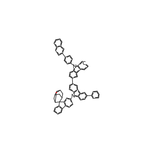 c1ccc(-c2ccc3c(c2)c2cc(-c4ccc5c(c4)c4ccccc4n5-c4ccc(-c5ccc6ccccc6c5)cc4)ccc2n3-c2ccc3c(c2)C2(c4ccccc4-3)C3CC4CC(C3)CC2C4)cc1